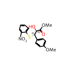 COC(=O)[C@H](O)[C@@H](Sc1ccccc1[N+](=O)[O-])c1ccc(OC)cc1